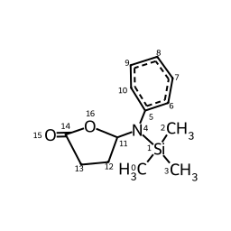 C[Si](C)(C)N(c1ccccc1)C1CCC(=O)O1